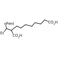 CCCCCC(CC)C(CCCCCCCC(=O)O)C(=O)O